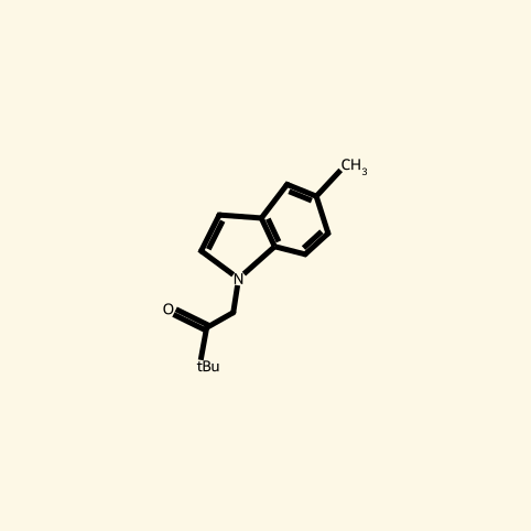 Cc1ccc2c(ccn2CC(=O)C(C)(C)C)c1